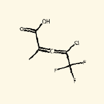 CC(=C=C(Cl)C(F)(F)F)C(=O)O